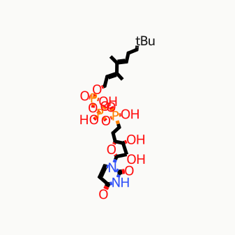 CC(=C\CCC(C)(C)C)/C(C)=C/COP(=O)(O)OP(=O)(O)OP(=O)(O)CCC1OC(n2ccc(=O)[nH]c2=O)C(O)C1O